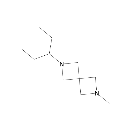 CCC(CC)N1CC2(CN(C)C2)C1